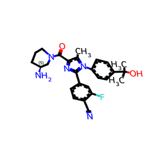 Cc1c(C(=O)N2CCC[C@H](N)C2)nc(-c2ccc(C#N)c(F)c2)n1-c1ccc(C(C)(C)O)cc1